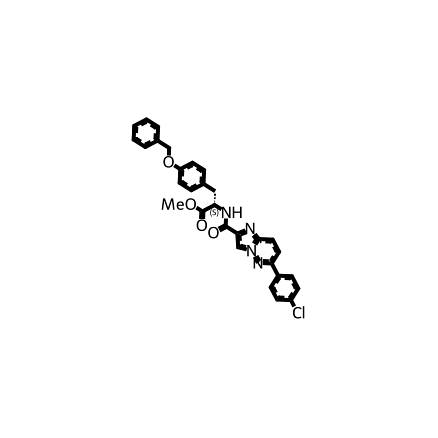 COC(=O)[C@H](Cc1ccc(OCc2ccccc2)cc1)NC(=O)c1cn2nc(-c3ccc(Cl)cc3)ccc2n1